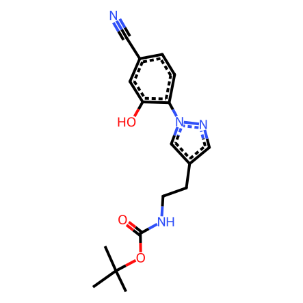 CC(C)(C)OC(=O)NCCc1cnn(-c2ccc(C#N)cc2O)c1